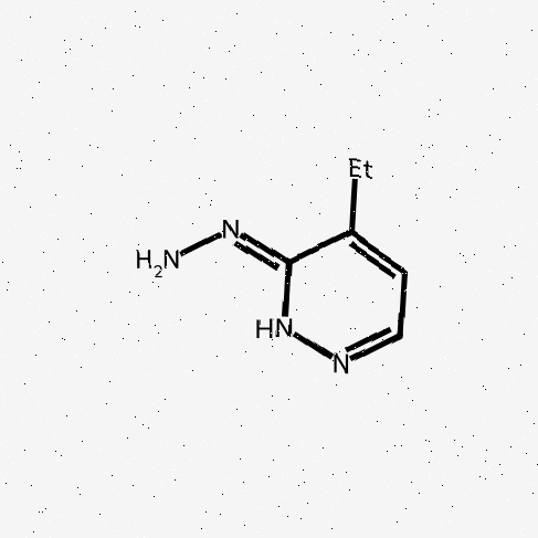 CCc1ccn[nH]c1=NN